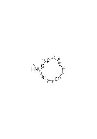 CNC1CCCCCCCCCCCCCC1